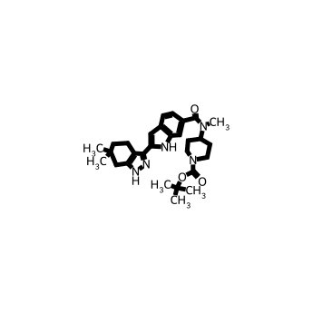 CN(C(=O)c1ccc2cc(-c3n[nH]c4c3CCC(C)(C)C4)[nH]c2c1)C1CCN(C(=O)OC(C)(C)C)CC1